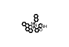 C1=Cc2c(oc3cccc(-c4nc(-c5ccc6ccccc6c5)nc(-c5cc6ccccc6c6ccc7ccccc7c56)n4)c23)NC1